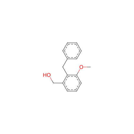 COc1cccc(CO)c1Cc1ccccc1